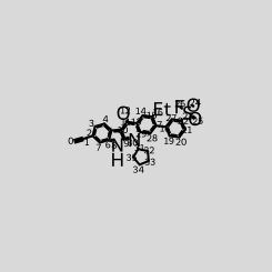 C#Cc1ccc2c(c1)[nH]c1c2c(=O)c2cc(CC)c(-c3cccc(S(=O)(=O)F)c3)cc2n1C1CCCC1